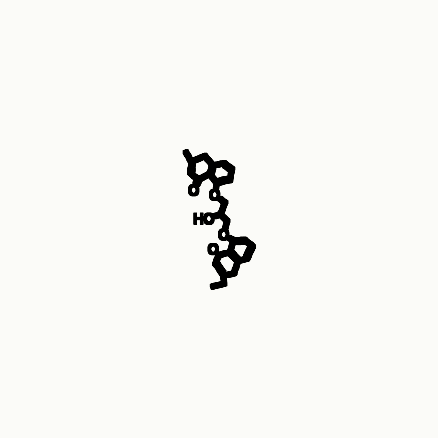 CCC1=CC(=O)c2c(cccc2OCC(O)COc2cccc3c2C(=O)C=C(C)C3)C1